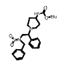 CC(C)(C)OC(=O)NC1CCN(C(CN(Cc2ccccc2)[SH](=O)=O)c2ccccc2)CC1